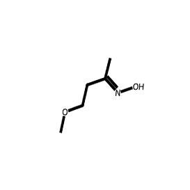 COCCC(C)=NO